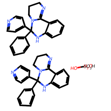 O.O=S(=O)(O)O.c1ccc(C2(c3ccncc3)Nc3ccccc3C3=NCCCN32)cc1.c1ccc(C2(c3ccncc3)Nc3ccccc3C3=NCCCN32)cc1